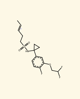 C/C=C/CCS(=O)(=O)NC1(c2ccc(F)c(OCC(F)F)c2)CC1